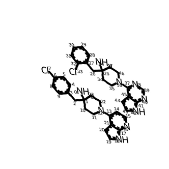 NC1(Cc2ccc(Cl)cc2)CCN(c2ccnc3[nH]ccc23)CC1.NC1(Cc2ccccc2Cl)CCN(c2ncnc3[nH]ccc23)CC1